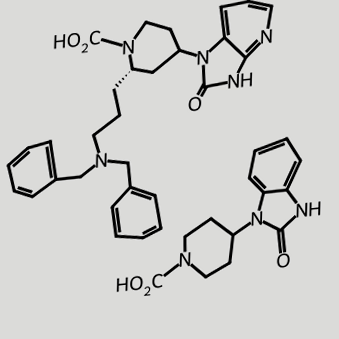 O=C(O)N1CCC(n2c(=O)[nH]c3ccccc32)CC1.O=C(O)N1CCC(n2c(=O)[nH]c3ncccc32)C[C@@H]1CCCN(Cc1ccccc1)Cc1ccccc1